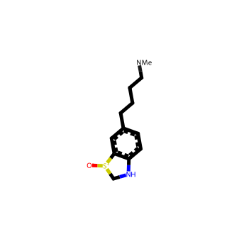 CNCCCCc1ccc2c(c1)[S+]([O-])CN2